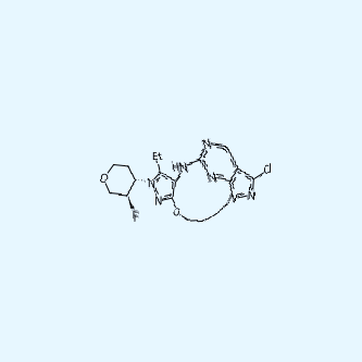 CCc1c2c(nn1[C@H]1CCOC[C@@H]1F)OCCCn1nc(Cl)c3cnc(nc31)N2